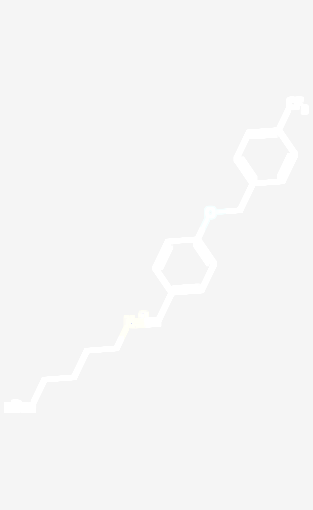 CCCCCCCCCCCCCC/N=C/c1ccc(OCc2ccc(C(F)(F)F)cc2)cc1